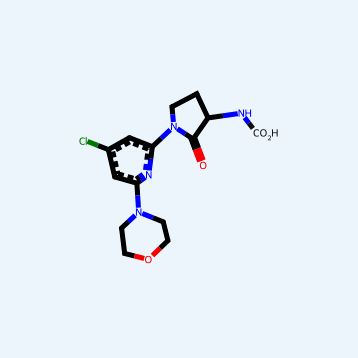 O=C(O)NC1CCN(c2cc(Cl)cc(N3CCOCC3)n2)C1=O